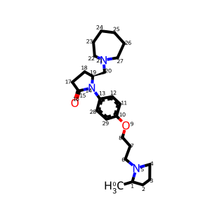 CC1CCCN1CCCOc1ccc(N2C(=O)CC[C@H]2CN2CCCCCC2)cc1